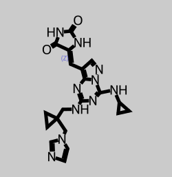 O=C1NC(=O)/C(=C/c2cnn3c(NC4CC4)nc(NCC4(Cn5ccnc5)CC4)nc23)N1